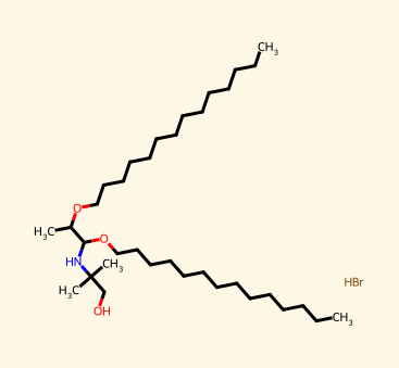 Br.CCCCCCCCCCCCCCOC(C)C(NC(C)(C)CO)OCCCCCCCCCCCCCC